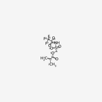 C=C(C)C(=O)OCS(=O)(=O)NS(=O)(=O)C(F)(F)F